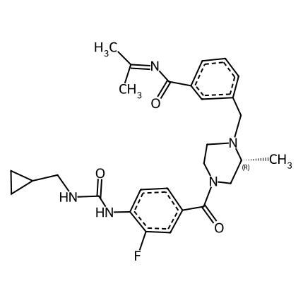 CC(C)=NC(=O)c1cccc(CN2CCN(C(=O)c3ccc(NC(=O)NCC4CC4)c(F)c3)C[C@H]2C)c1